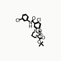 CC(C)(C)OC(=O)N1CCCN(c2ccc(Cl)c(C(=O)Nc3cccc(Cl)c3)c2)S1(=O)=O